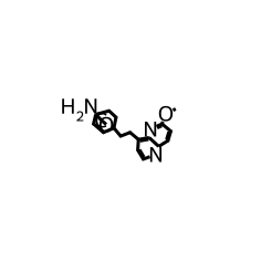 COc1ccc2nccc(CCC34CCC(N)(CC3)CO4)c2n1